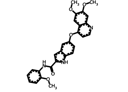 COc1ccccc1NC(=O)c1cc2cc(Oc3ccnc4cc(OC)c(OC)cc34)ccc2[nH]1